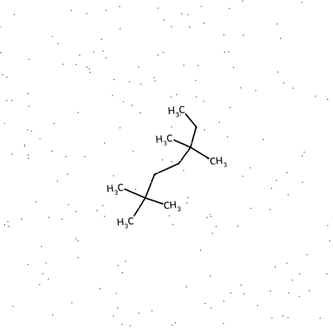 CCC(C)(C)CCC(C)(C)C